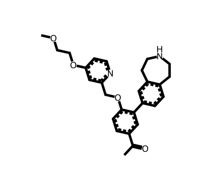 COCCOc1ccnc(COc2ccc(C(C)=O)cc2-c2ccc3c(c2)CCNCC3)c1